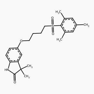 Cc1cc(C)c(S(=O)(=O)CCCCOc2ccc3c(c2)C(C)(C)C(=O)N3)c(C)c1